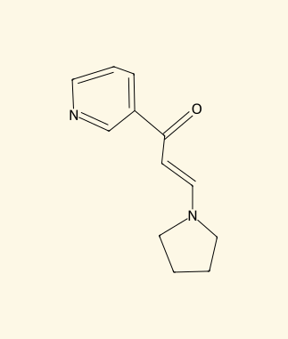 O=C(C=CN1CCCC1)c1cccnc1